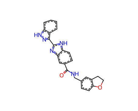 O=C(NCc1ccc2c(c1)CCO2)c1ccc2[nH]c(-c3n[nH]c4ccccc34)nc2c1